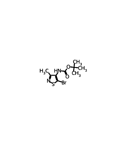 Cc1nsc(Br)c1NC(=O)OC(C)(C)C